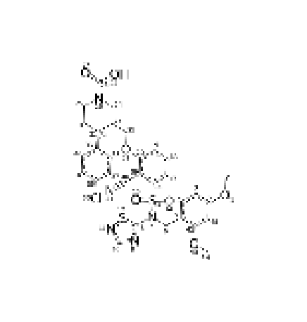 COc1ccc(CN(c2ncns2)S(=O)(=O)c2cccc(OCC3CN(C(=O)O)CC[C@@H]3c3ccc(Cl)cc3)c2C#N)c(OC)c1